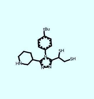 CC(C)(C)c1ccc(-n2c(C(S)CS)nnc2C2CCCNC2)cc1